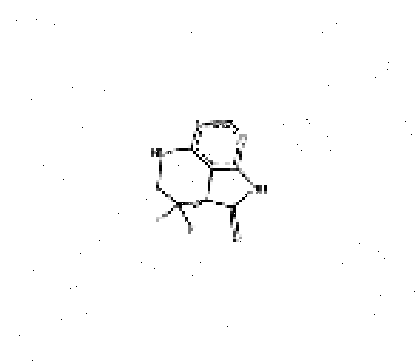 CC12C(=O)Nc3ncnc(c31)NCC2(F)F